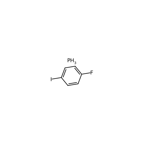 Fc1ccc(I)cc1.P